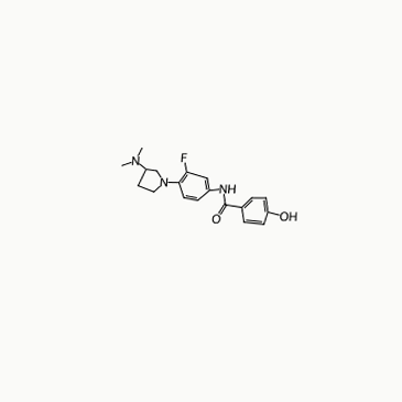 CN(C)C1CCN(c2ccc(NC(=O)c3ccc(O)cc3)cc2F)C1